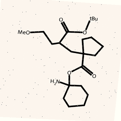 COCCC(CC1(C(=O)OC2(N)CCCCC2)CCCC1)C(=O)OC(C)(C)C